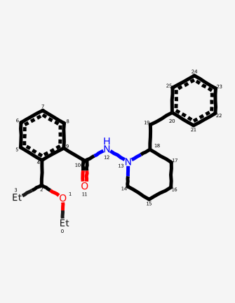 CCOC(CC)c1ccccc1C(=O)NN1CCCCC1Cc1ccccc1